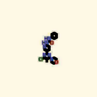 Cc1c(Cl)nc(-c2ccc(NC(=O)Nc3ccccc3)nc2)nc1N1CCOCC1